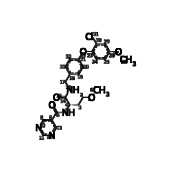 COCC[C@H](NC(=O)c1cncnc1)C(=O)NCc1ccc(Oc2ccc(OC)cc2Cl)cc1